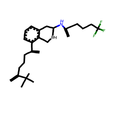 C=C(CCCC(F)(F)F)NC1BCc2c(cccc2C(=C)CCCC(=C)C(C)(C)C)C1